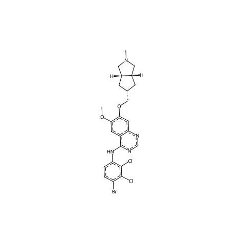 COc1cc2c(Nc3ccc(Br)c(Cl)c3Cl)ncnc2cc1OC[C@@H]1C[C@@H]2CN(C)C[C@@H]2C1